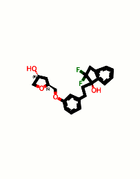 O[C@H]1CO[C@H](COc2cccc(CC[C@@]3(O)c4ccccc4CC3(F)F)c2)C1